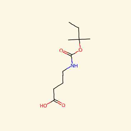 CCC(C)(C)OC(=O)NCCCC(=O)O